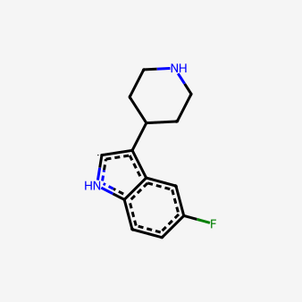 Fc1ccc2[nH][c]c(C3CCNCC3)c2c1